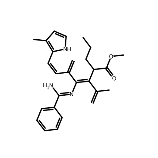 C=C(/C=C\c1[nH]ccc1C)C(/N=C(\N)c1ccccc1)=C(/C(=C)C)C(CCC)C(=O)OC